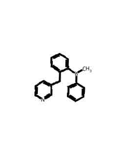 CB(c1ccccc1)c1ccccc1Cc1cccnc1